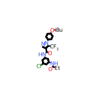 CCC(=O)Nc1cc(Cl)cc(NC(=O)c2cnn(-c3ccc(OC(C)CC)cc3)c2C(F)(F)F)c1